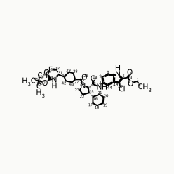 CCOC(=O)c1[nH]c2ccc(NC(=O)[C@@H]3[C@H](C4CCCCC4)CCN3C(=O)C3CCC([C@@H](CF)NC(=O)OC(C)(C)C)CC3)cc2c1Cl